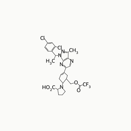 Cc1nn(C(C)c2ccc(Cl)cc2Cl)c2nc(C3=CCC(N4CCCC4C(=O)O)C(COC(=O)C(F)(F)F)C3)cnc12